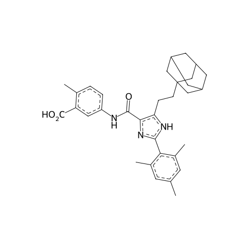 Cc1cc(C)c(-c2nc(C(=O)Nc3ccc(C)c(C(=O)O)c3)c(CCC34CC5CC(CC(C5)C3)C4)[nH]2)c(C)c1